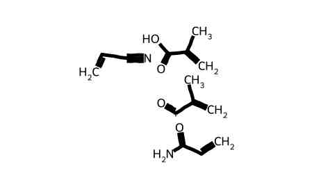 C=C(C)C(=O)O.C=C(C)[C]=O.C=CC#N.C=CC(N)=O